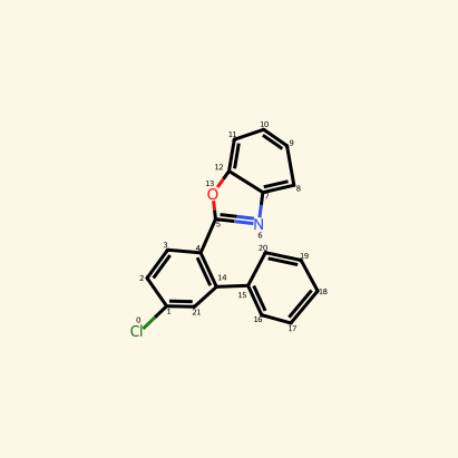 Clc1ccc(-c2nc3ccccc3o2)c(-c2ccccc2)c1